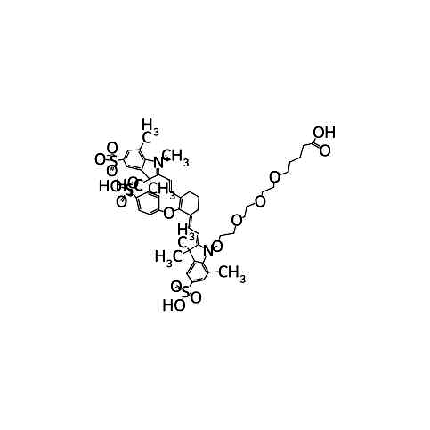 Cc1cc(S(=O)(=O)O)cc2c1N(OCCOCCOCCOCCCCC(=O)O)/C(=C/C=C1\CCCC(/C=C/C3=[N+](C)c4c(C)cc(S(=O)(=O)[O-])cc4C3(C)C)=C1Oc1ccc(S(=O)(=O)O)cc1)C2(C)C